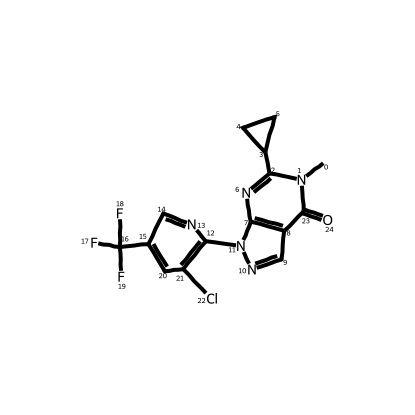 Cn1c(C2CC2)nc2c(cnn2-c2ncc(C(F)(F)F)cc2Cl)c1=O